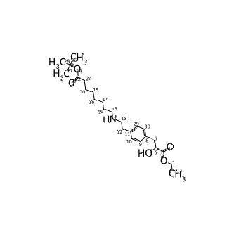 CCOC(=O)C(O)Cc1ccc(CCNCCCCCCCC(=O)OC(C)(C)C)cc1